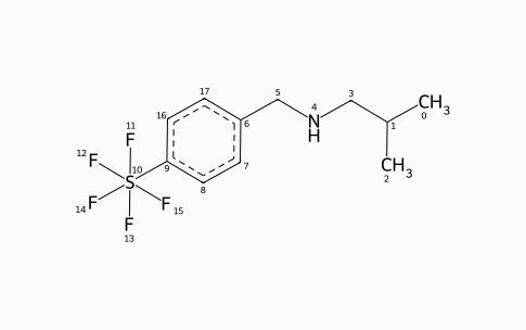 CC(C)CNCc1ccc(S(F)(F)(F)(F)F)cc1